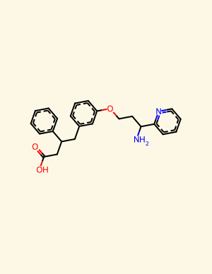 NC(CCOc1cccc(CC(CC(=O)O)c2ccccc2)c1)c1ccccn1